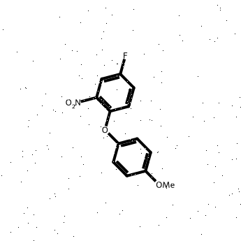 COc1ccc(Oc2ccc(F)cc2[N+](=O)[O-])cc1